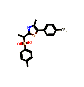 Cc1ccc(S(=O)(=O)C(C)c2nc(C)c(-c3ccc(C(F)(F)F)cc3)s2)cc1